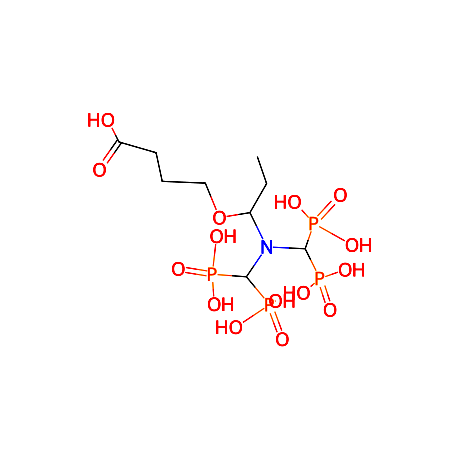 CCC(OCCCC(=O)O)N(C(P(=O)(O)O)P(=O)(O)O)C(P(=O)(O)O)P(=O)(O)O